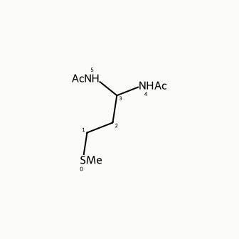 CSCCC(NC(C)=O)NC(C)=O